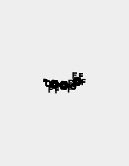 CCOc1ccc(-c2ccc(C(F)(F)Oc3cc(F)c(F)c(F)c3)cc2)c(F)c1F